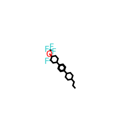 CCCC1CCC(c2ccc(C3CCC(OC(F)(F)F)C(F)C3)cc2)CC1